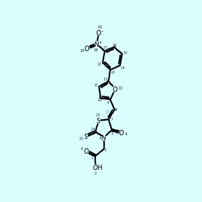 O=C(O)CN1C(=O)/C(=C/c2ccc(-c3cccc([N+](=O)[O-])c3)o2)SC1=S